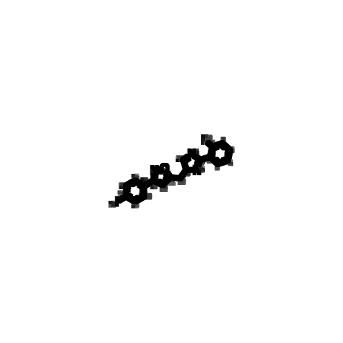 Fc1ccccc1C1=NC(Cc2cc(-c3ccc(I)cc3)no2)C=N1